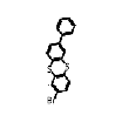 Brc1[c]c2c(cc1)Sc1cc(-c3ccccc3)ccc1S2